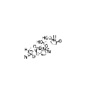 CC(C)OC(=O)C(C)N(Oc1ccccc1)[PH](=O)OC[C@@]1(N=[N+]=[N-])O[C@@H](n2ccc(=O)[nH]c2=O)[C@H](O)[C@@H]1O